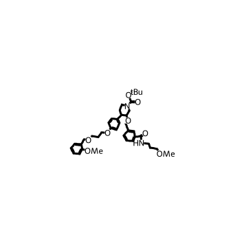 COCCCNC(=O)c1cccc(COC2CN(C(=O)OC(C)(C)C)CCC2c2ccc(OCCCOCc3ccccc3OC)cc2)c1